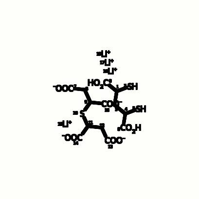 O=C(O)C(S)CC(S)C(=O)O.O=C([O-])CC(SC(CC(=O)[O-])C(=O)[O-])C(=O)[O-].[Li+].[Li+].[Li+].[Li+]